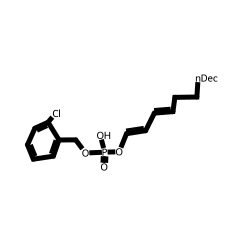 CCCCCCCCCCCCC=CC=COP(=O)(O)OCc1ccccc1Cl